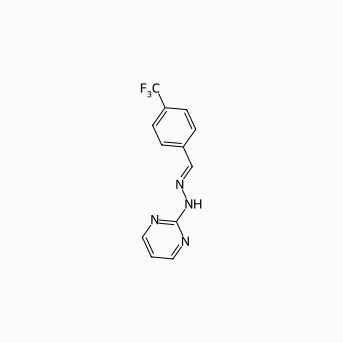 FC(F)(F)c1ccc(C=NNc2ncccn2)cc1